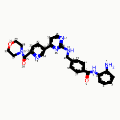 Nc1ccccc1NC(=O)c1ccc(CNc2nccc(-c3ccc(C(=O)N4CCOCC4)nc3)n2)cc1